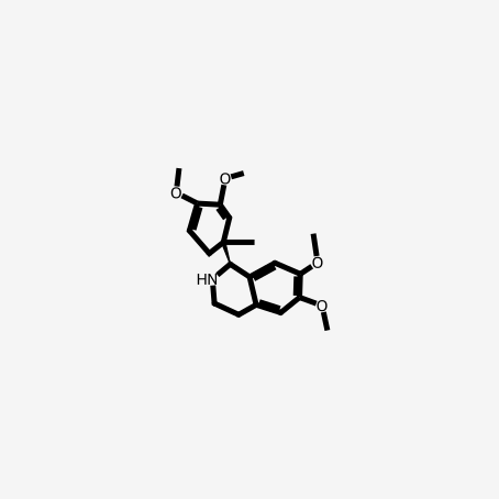 COC1=CCC(C)([C@@H]2NCCc3cc(OC)c(OC)cc32)C=C1OC